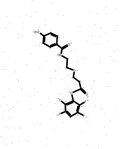 O=Cc1ccc(C(=O)NCCOCCC(=O)Oc2c(F)c(F)cc(F)c2F)cc1